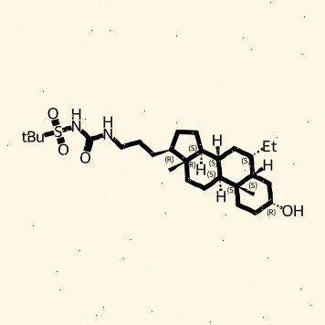 CC[C@H]1C[C@@H]2[C@H](CC[C@]3(C)[C@@H](CCCNC(=O)NS(=O)(=O)C(C)(C)C)CC[C@@H]23)[C@@]2(C)CC[C@@H](O)C[C@@H]12